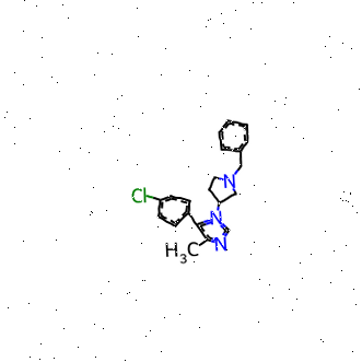 Cc1ncn(C2CCN(Cc3ccccc3)C2)c1-c1ccc(Cl)cc1